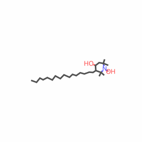 CCCCCCCCCCCCCCCCC1C(O)CC(C)(C)N(O)C1(C)C